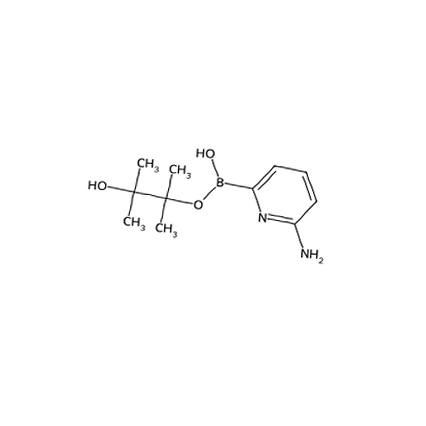 CC(C)(O)C(C)(C)OB(O)c1cccc(N)n1